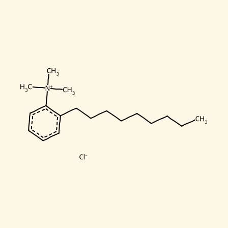 CCCCCCCCCc1ccccc1[N+](C)(C)C.[Cl-]